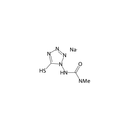 CNC(=O)Nn1nnnc1S.[Na]